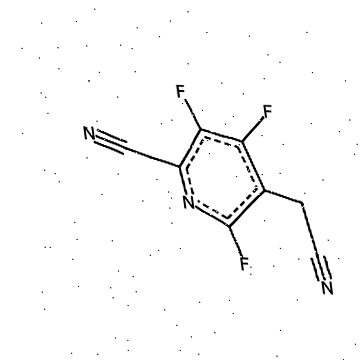 N#CCc1c(F)nc(C#N)c(F)c1F